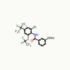 CNc1cccc(C(=O)Nc2c(Br)cc(C(F)(C(F)(F)F)C(F)(F)F)cc2SC(F)(F)C(F)(F)F)c1